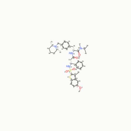 COc1ccc2sc(S(=O)(=O)N[C@H](CC(=O)N[C@H](Cc3ccc(CN4[C@H](C)CCC[C@@H]4C)cc3)C(=O)N(C)C(C)C)c3ccccc3)c(C)c2c1